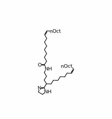 CCCCCCCC/C=C\CCCCCCCC(=O)NCCCC(CCCCCC/C=C\CCCCCCCC)C1=NCCN1